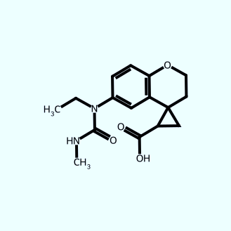 CCN(C(=O)NC)c1ccc2c(c1)C1(CCO2)CC1C(=O)O